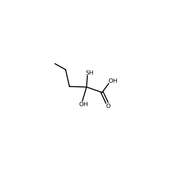 CCCC(O)(S)C(=O)O